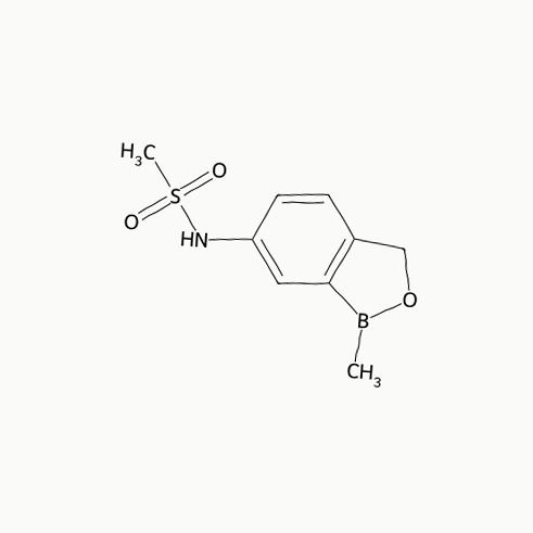 CB1OCc2ccc(NS(C)(=O)=O)cc21